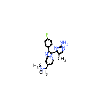 Cc1cnc(N)nc1-c1c(-c2ccc(F)cc2)nc2cc(CN(C)C)ccn12